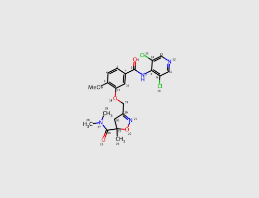 COc1ccc(C(=O)Nc2c(Cl)cncc2Cl)cc1OCC1=NOC(C)(C(=O)N(C)C)C1